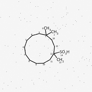 CC1(C)CCCCCCCCCC(C)(S(=O)(=O)O)CC1